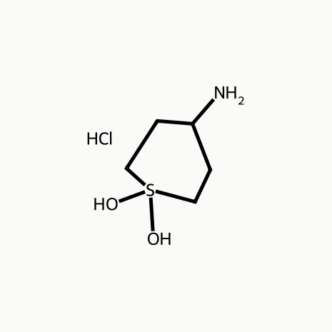 Cl.NC1CCS(O)(O)CC1